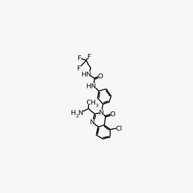 CC(N)c1nc2cccc(Cl)c2c(=O)n1-c1cccc(NC(=O)NCC(F)(F)F)c1